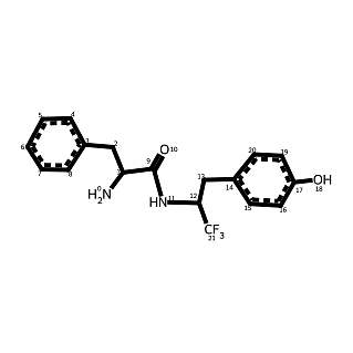 NC(Cc1ccccc1)C(=O)NC(Cc1ccc(O)cc1)C(F)(F)F